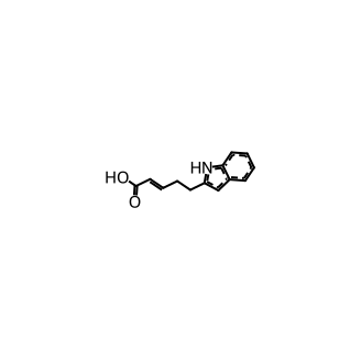 O=C(O)C=CCCc1cc2ccccc2[nH]1